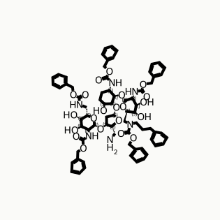 NC[C@H]1O[C@@H](O[C@H]2[C@H](O[C@H]3O[C@H](CN(CCCc4ccccc4)C(=O)OCc4ccccc4)[C@@H](O)[C@H](O)[C@H]3NC(=O)OCc3ccccc3)[C@@H](NC(=O)OCc3ccccc3)CC[C@@H]2O)C[C@@H]1O[C@H]1O[C@@H](CNC(=O)OCc2ccccc2)[C@@H](O)[C@H](O)[C@H]1NC(=O)OCc1ccccc1